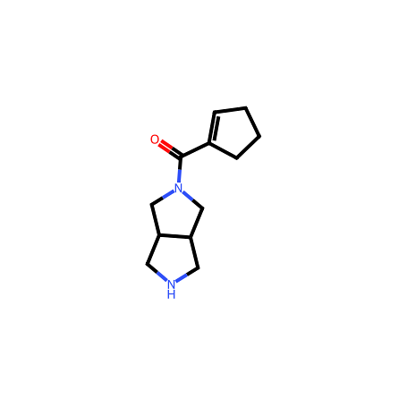 O=C(C1=CCCC1)N1CC2CNCC2C1